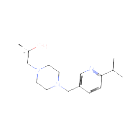 CC(C)c1ccc(CN2CCN(C[C@@H](C)O)CC2)cn1